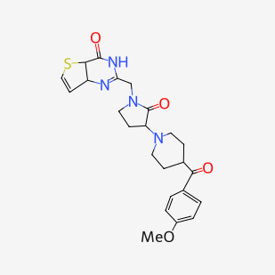 COc1ccc(C(=O)C2CCN(C3CCN(CC4=NC5C=CSC5C(=O)N4)C3=O)CC2)cc1